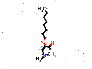 CCCCCCCCO/C(C=O)=C/N(C)C